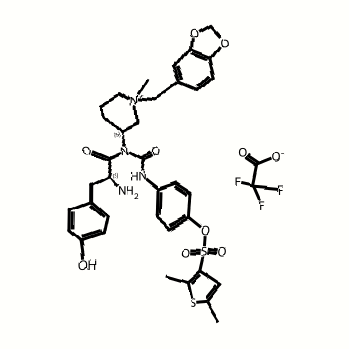 Cc1cc(S(=O)(=O)Oc2ccc(NC(=O)N(C(=O)[C@@H](N)Cc3ccc(O)cc3)[C@H]3CCC[N+](C)(Cc4ccc5c(c4)OCO5)C3)cc2)c(C)s1.O=C([O-])C(F)(F)F